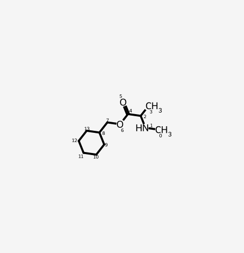 CNC(C)C(=O)OCC1CCCCC1